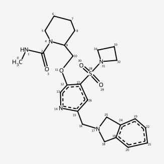 CNC(=O)N1CCCCC1COc1cnc(CN2Cc3ccccc3C2)cc1S(=O)(=O)N1CCC1